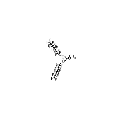 COC(COCCC(F)(F)C(F)(F)C(F)(F)C(F)(F)C(F)(F)C(F)(F)C(F)F)COCCC(F)(F)C(F)(F)C(F)(F)C(F)(F)C(F)(F)C(F)(F)C(F)F